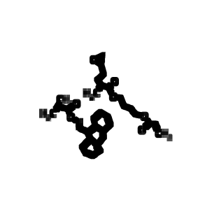 C=C(C)C(=O)ON=Cc1c2ccccc2cc2ccccc12.C=CC(=O)OCCCCOC(=O)C(=C)CCC1CO1